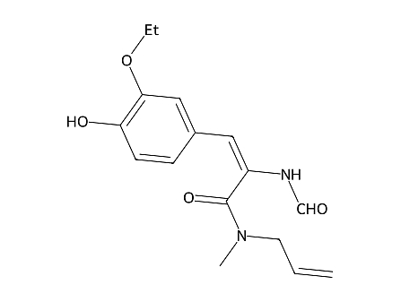 C=CCN(C)C(=O)/C(=C\c1ccc(O)c(OCC)c1)NC=O